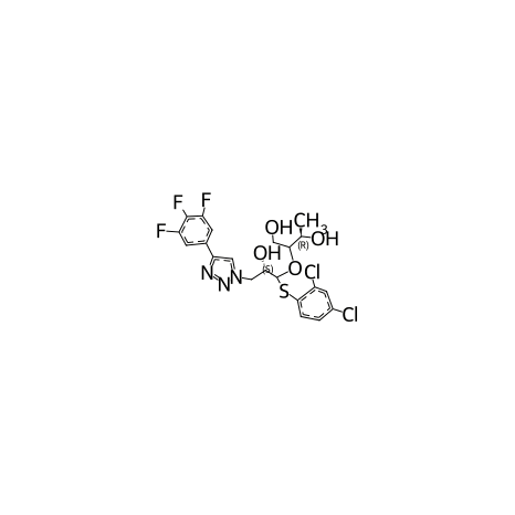 C[C@@H](O)C(CO)OC(Sc1ccc(Cl)cc1Cl)[C@@H](O)Cn1cc(-c2cc(F)c(F)c(F)c2)nn1